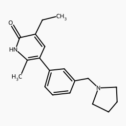 CCc1cc(-c2cccc(CN3CCCC3)c2)c(C)[nH]c1=O